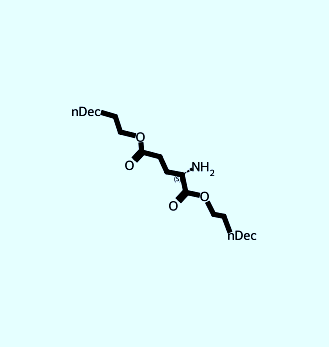 CCCCCCCCCCCCOC(=O)CC[C@H](N)C(=O)OCCCCCCCCCCCC